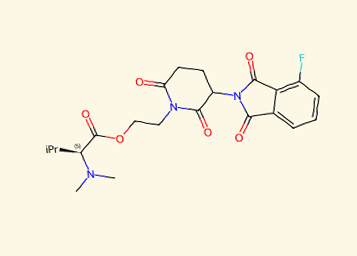 CC(C)[C@@H](C(=O)OCCN1C(=O)CCC(N2C(=O)c3cccc(F)c3C2=O)C1=O)N(C)C